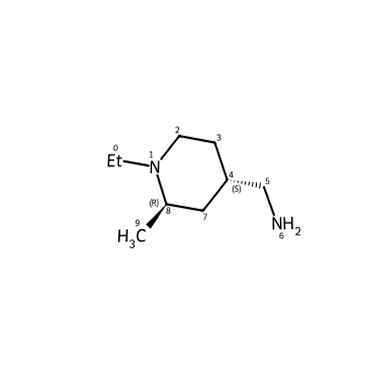 CCN1CC[C@H](CN)C[C@H]1C